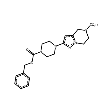 O=C(O)N1CCn2nc(N3CCN(C(=O)OCc4ccccc4)CC3)cc2C1